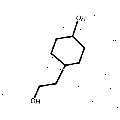 OCCC1CCC(O)CC1